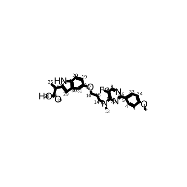 COc1ccc(-c2ncc(F)c(N(C)CCCOc3ccc4[nH]c(C(C)C(=O)O)cc4c3)n2)cc1